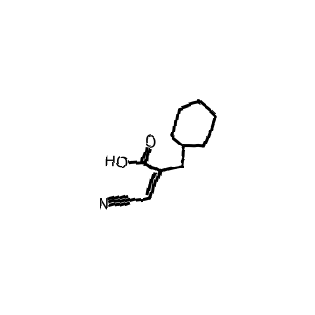 N#C/C=C(/CC1CCCCC1)C(=O)O